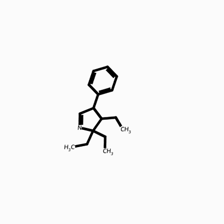 CCC1C(c2ccccc2)C=NC1(CC)CC